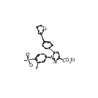 CCOC(=O)c1cc(-c2ccc(-c3ccco3)cc2)n(-c2ccc(S(C)(=O)=O)c(F)c2)n1